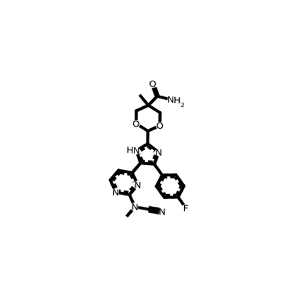 CN(C#N)c1nccc(-c2[nH]c(C3OCC(C)(C(N)=O)CO3)nc2-c2ccc(F)cc2)n1